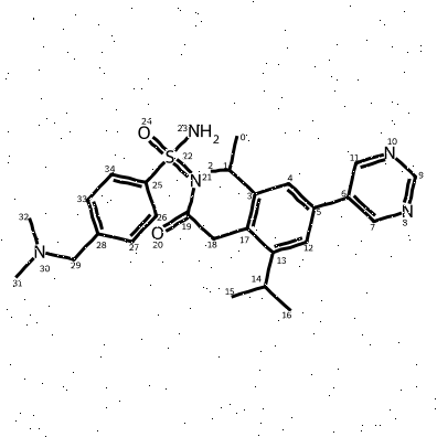 CC(C)c1cc(-c2cncnc2)cc(C(C)C)c1CC(=O)N=S(N)(=O)c1ccc(CN(C)C)cc1